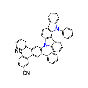 N#Cc1ccc(C#N)c(-c2cc(-c3ccccc3)c(-n3c4ccccc4c4c3ccc3c5ccccc5n(-c5ccccc5)c34)cc2-c2ccccc2)c1